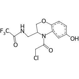 O=C(CCl)N1c2cc(O)ccc2OCC1CNC(=O)C(F)(F)F